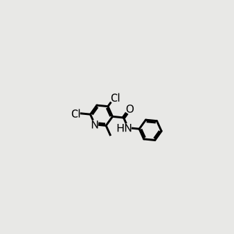 Cc1nc(Cl)cc(Cl)c1C(=O)Nc1ccccc1